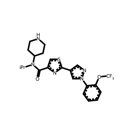 CC(C)N(C(=O)c1csc(-c2cnn(-c3ccccc3OC(F)(F)F)c2)n1)C1CCNCC1